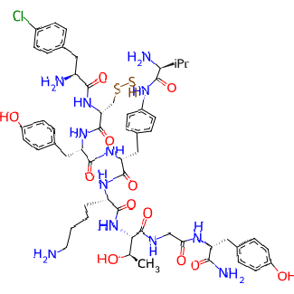 CC(C)[C@H](N)C(=O)Nc1ccc(C[C@@H](NC(=O)[C@H](Cc2ccc(O)cc2)NC(=O)[C@@H](CSS)NC(=O)[C@@H](N)Cc2ccc(Cl)cc2)C(=O)N[C@@H](CCCCN)C(=O)N[C@H](C(=O)NCC(=O)N[C@H](Cc2ccc(O)cc2)C(N)=O)[C@@H](C)O)cc1